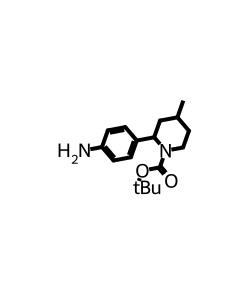 CC1CCN(C(=O)OC(C)(C)C)C(c2ccc(N)cc2)C1